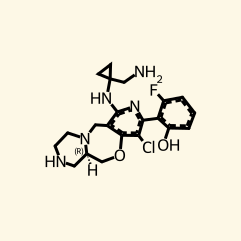 NCC1(Nc2nc(-c3c(O)cccc3F)c(Cl)c3c2CN2CCNC[C@@H]2CO3)CC1